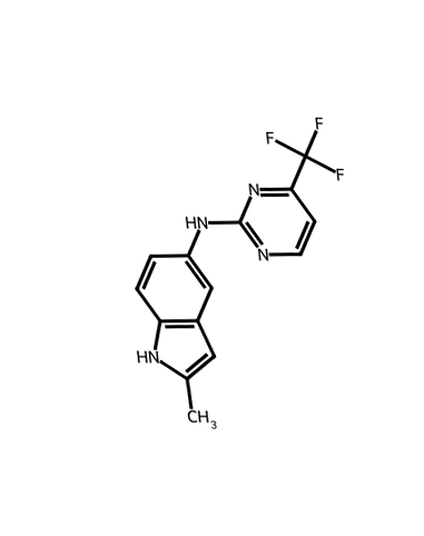 Cc1cc2cc(Nc3nccc(C(F)(F)F)n3)ccc2[nH]1